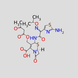 CC(=O)CC(=O)OCC1=C(C(=O)O)N2C(=O)C[C@@H]2SC1NC(=O)C(=NOC(C)C)c1csc(N)n1